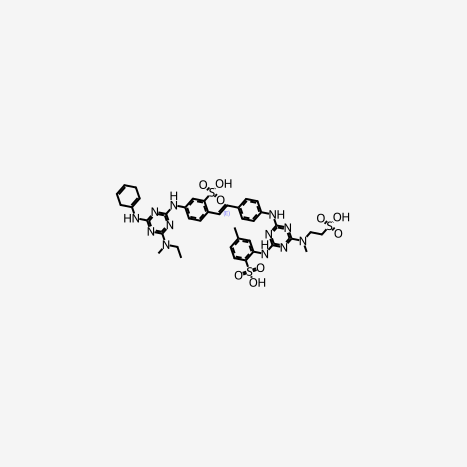 CCN(C)c1nc(NC2=CCC=CC2)nc(Nc2ccc(/C=C/c3ccc(Nc4nc(Nc5cc(C)ccc5S(=O)(=O)O)nc(N(C)CCS(=O)(=O)O)n4)cc3)c(S(=O)(=O)O)c2)n1